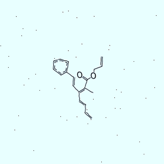 C=CC=CC(C=Cc1ccccc1)=C(C)C(=O)OCC=C